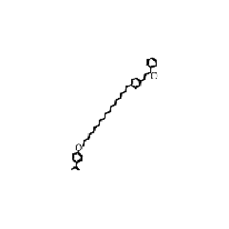 C=C(C)c1ccc(OCCCCCCCCCCCCCCCCCCc2ccc(/C=C/C(=O)c3ccccc3)cc2)cc1